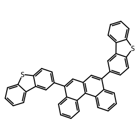 c1ccc2c(c1)sc1ccc(-c3cc4cc(-c5ccc6sc7ccccc7c6c5)c5ccccc5c4c4ccccc34)cc12